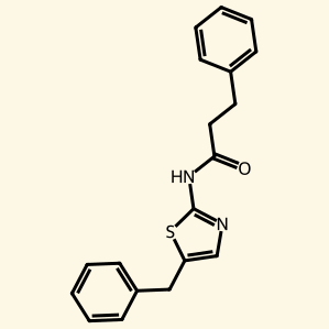 O=C(CCc1ccccc1)Nc1ncc(Cc2ccccc2)s1